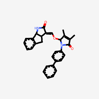 CC1=C(C)C(OC=C2C(=O)NC3c4ccccc4CC23)N(c2ccc(-c3ccccc3)cc2)C1=O